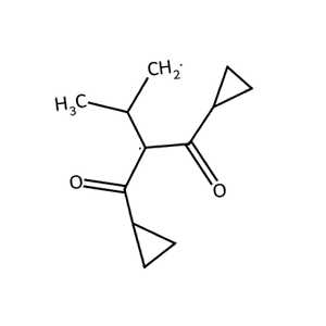 [CH2]C(C)[C](C(=O)C1CC1)C(=O)C1CC1